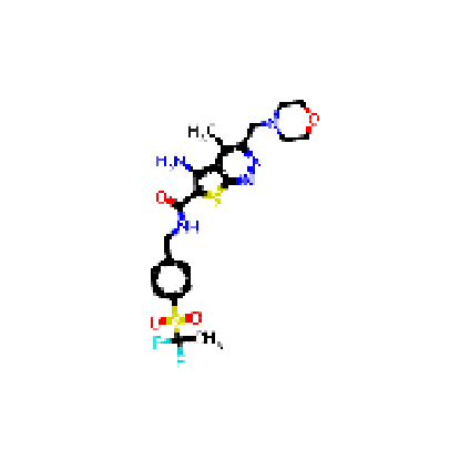 Cc1c(CN2CCOCC2)nnc2sc(C(=O)NCc3ccc(S(=O)(=O)C(C)(F)F)cc3)c(N)c12